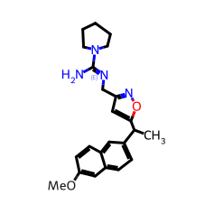 COc1ccc2cc(C(C)c3cc(C/N=C(\N)N4CCCCC4)no3)ccc2c1